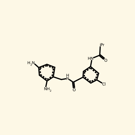 CC(C)C(=O)Nc1cc(Cl)cc(C(=O)NCc2ccc(N)cc2N)c1